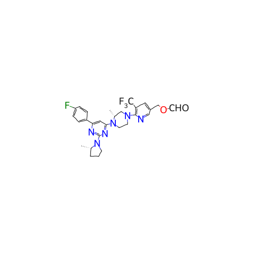 C[C@@H]1CN(c2ncc(COC=O)cc2C(F)(F)F)CCN1c1cc(-c2ccc(F)cc2)nc(N2CCC[C@@H]2C)n1